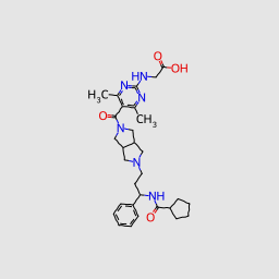 Cc1nc(NCC(=O)O)nc(C)c1C(=O)N1CC2CN(CCC(NC(=O)C3CCCC3)c3ccccc3)CC2C1